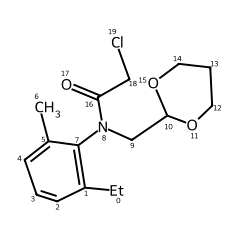 CCc1cccc(C)c1N(CC1OCCCO1)C(=O)CCl